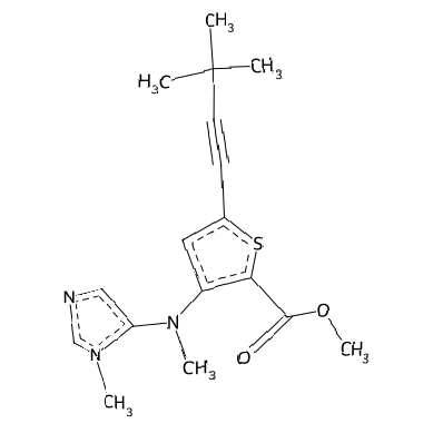 COC(=O)c1sc(C#CC(C)(C)C)cc1N(C)c1cncn1C